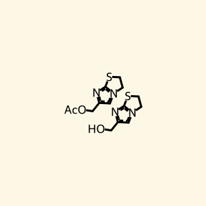 CC(=O)OCc1cn2c(n1)SCC2.OCc1cn2c(n1)SCC2